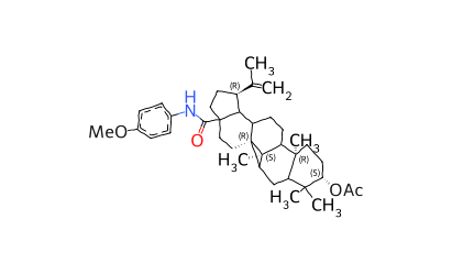 C=C(C)[C@@H]1CCC2(C(=O)Nc3ccc(OC)cc3)CC[C@@]34C(CCC5[C@@]6(C)CC[C@H](OC(C)=O)C(C)(C)C6CC3[C@]54C)C12